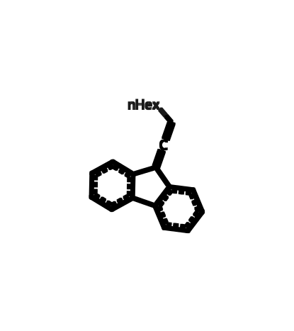 CCCCCCC=C=C1c2ccccc2-c2ccccc21